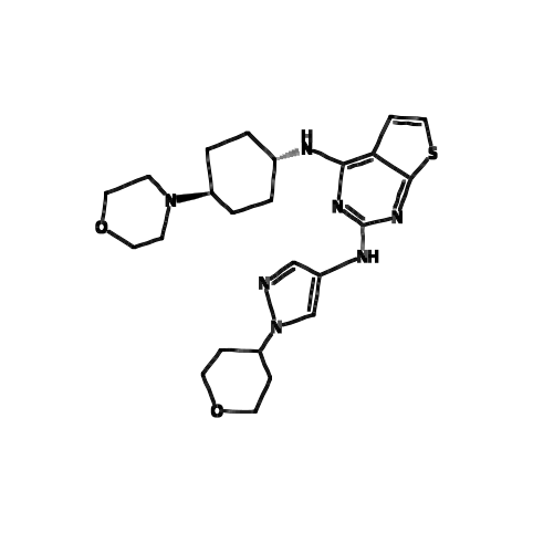 c1cc2c(N[C@H]3CC[C@H](N4CCOCC4)CC3)nc(Nc3cnn(C4CCOCC4)c3)nc2s1